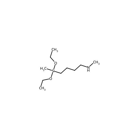 CCO[Si](C)(CCCCNC)OCC